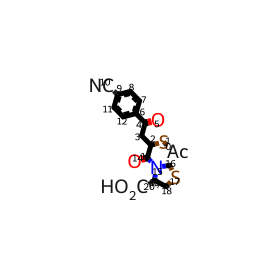 CC(=O)SC(CC(=O)c1ccc(C#N)cc1)C(=O)N1CSC[C@H]1C(=O)O